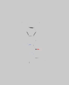 CCC(C)[C@H](NC(=O)[C@@H](N)Cc1ccc(OC(C)=O)c(OC(C)=O)c1)C(=O)O